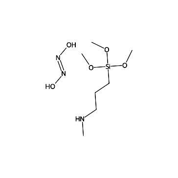 CNCCC[Si](OC)(OC)OC.ON=NO